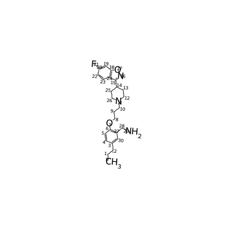 CC[CH]c1ccc(OCCCN2CCC(c3noc4cc(F)ccc34)CC2)c(CN)c1